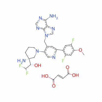 COc1cc(F)c(-c2cc(Cn3cnc4c(N)ncnc43)c(N3CCC[C@](N)([C@H](O)C(F)F)C3)cn2)cc1F.O=C(O)/C=C/C(=O)O